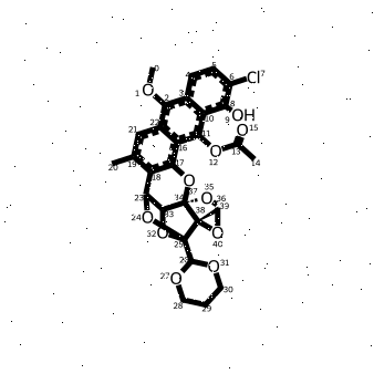 COc1c2ccc(Cl)c(O)c2c(OC(C)=O)c2c3c(c(C)cc12)C1OC2(C4OCCCO4)OC1[C@@](OC)(O3)[C@@]21CO1